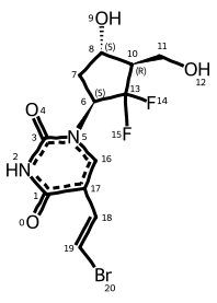 O=c1[nH]c(=O)n([C@H]2C[C@H](O)[C@@H](CO)C2(F)F)cc1C=CBr